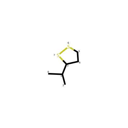 CC(C)C1CCSS1